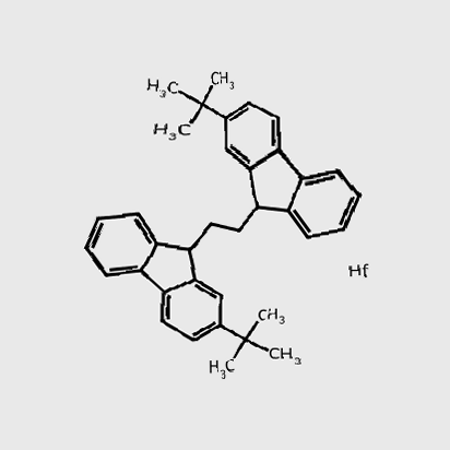 CC(C)(C)c1ccc2c(c1)C(CCC1c3ccccc3-c3ccc(C(C)(C)C)cc31)c1ccccc1-2.[Hf]